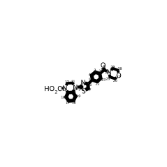 O=C(c1ccc(-c2csc(N3CCN(C(=O)O)c4ccccc43)n2)cc1)N1CCOCC1